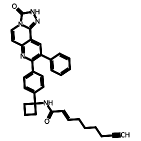 C#CCCCC/C=C/C(=O)NC1(c2ccc(-c3nc4ccn5c(=O)[nH]nc5c4cc3-c3ccccc3)cc2)CCC1